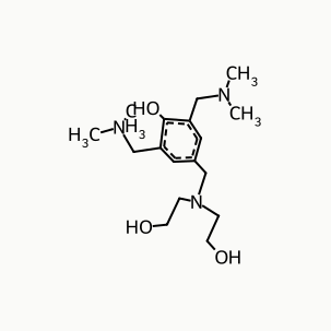 CN(C)Cc1cc(CN(CCO)CCO)cc(CN(C)C)c1O